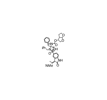 CNC(C)=C1C(=O)Nc2ccc(S(=O)(=O)N(CC(C)C)C(Cc3ccccc3)(NC(=O)OC3COC4OCCC34)[C@H](C)O)cc21